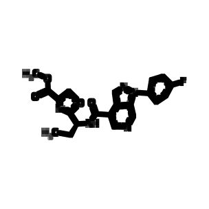 CC[C@H](NC(=O)c1cncc2c1cnn2-c1ccc(F)cc1)c1nc(C(=O)OC)co1